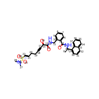 C[C@@H](NC(=O)c1ccccc1CNC(=O)C(=O)C#CCC/C=C/S(=O)(=O)N(C)C)c1cccc2ccccc12